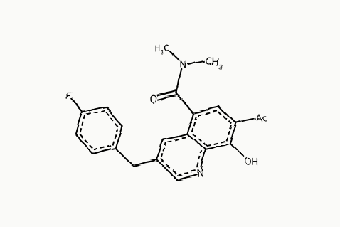 CC(=O)c1cc(C(=O)N(C)C)c2cc(Cc3ccc(F)cc3)cnc2c1O